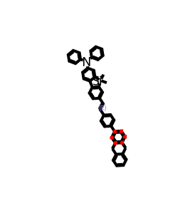 C[Si]1(C)c2cc(/C=C/c3ccc(-c4ccc5c(c4)C4c6ccccc6C5c5ccccc54)cc3)ccc2-c2ccc(N(c3ccccc3)c3ccccc3)cc21